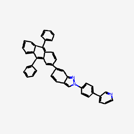 c1ccc(-c2c3ccccc3c(-c3ccccc3)c3cc(-c4ccc5cn(-c6ccc(-c7cccnc7)cc6)nc5c4)ccc23)cc1